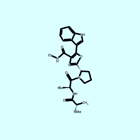 CCNC(=O)c1nc([C@@H]2CCCN2C(=O)[C@@H](NC(=O)[C@H](C)NC)C(C)(C)C)oc1-c1c[nH]c2ccccc12